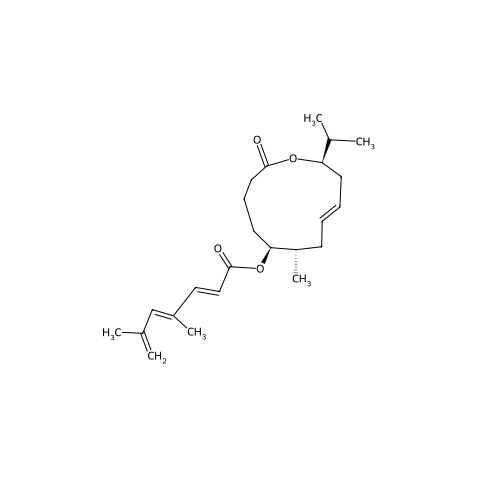 C=C(C)/C=C(C)/C=C/C(=O)O[C@H]1CCCC(=O)O[C@@H](C(C)C)C/C=C/C[C@@H]1C